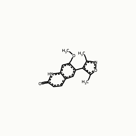 COc1cc2[nH]c(=O)ccc2cc1-c1c(C)noc1C